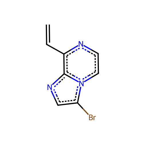 C=Cc1nccn2c(Br)cnc12